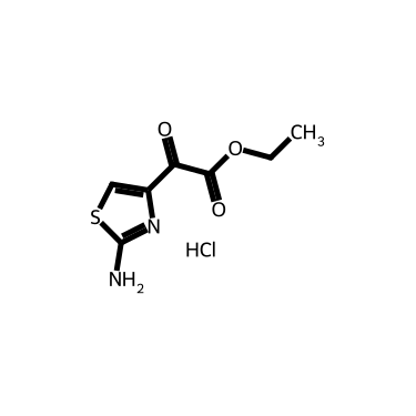 CCOC(=O)C(=O)c1csc(N)n1.Cl